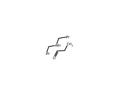 CC(C)[CH2][AlH][CH2]C(C)C.CCC=O